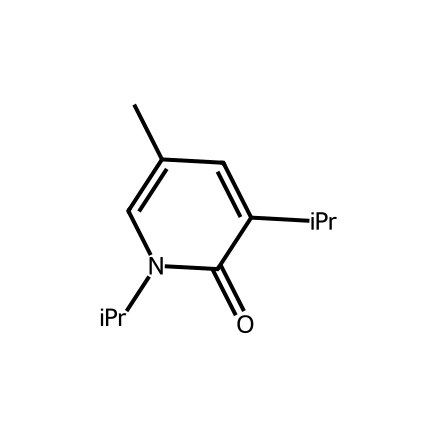 Cc1cc(C(C)C)c(=O)n(C(C)C)c1